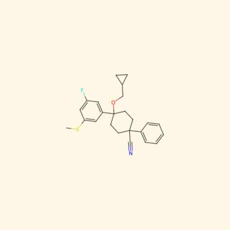 CSc1cc(F)cc(C2(OCC3CC3)CCC(C#N)(c3ccccc3)CC2)c1